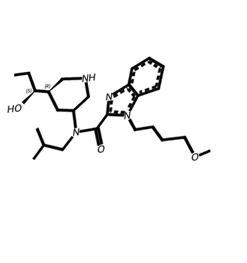 CC[C@H](O)[C@H]1CNCC(N(CC(C)C)C(=O)c2nc3ccccc3n2CCCCOC)C1